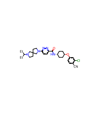 CCC(CC)N1CCC2(CCN(c3ccc(C(=O)N[C@H]4CC[C@H](Oc5ccc(C#N)c(Cl)c5)CC4)nn3)C2)C1